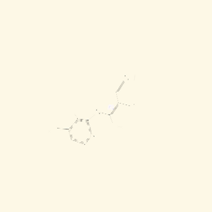 CC(=O)/C(C=N)=C(\C)Nc1nccc(C)c1F